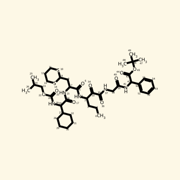 CCCC(NC(=O)C(CC1SCCCS1)NC(=O)C(NC(=O)OCC(C)C)C1CCCCC1)C(=O)C(=O)NCC(=O)NC(C(=O)OC(C)(C)C)c1ccccc1